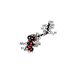 CCC(O)(CC)C[C@@H](C)C[C@](C(=O)OC)(c1cc2c(cc1OC)N(C)[C@H]1[C@@](O)(C(=O)NNC(=O)OCCSSC[C@H](NC(=O)C(N)C(O)[C@H](O)[C@H](O)CO)C(=O)O)[C@H](O)[C@]3(CC)C=CCN4CC[C@]21[C@@H]43)c1[nH]c2ccccc2c1CCNC